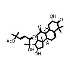 CC(=O)OC(C)(C)/C=C/C(=O)C(C)(O)[C@H]1[C@H](O)C[C@@]2(C)[C@@H]3CC=C4[C@@H](C[C@H](O)C(=O)C4(C)C)[C@]3(C)C(=O)C[C@]12C